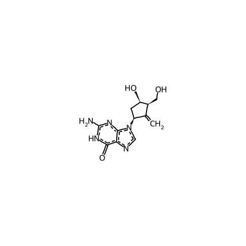 C=C1[C@H](CO)[C@H](O)C[C@@H]1n1cnc2c(=O)[nH]c(N)nc21